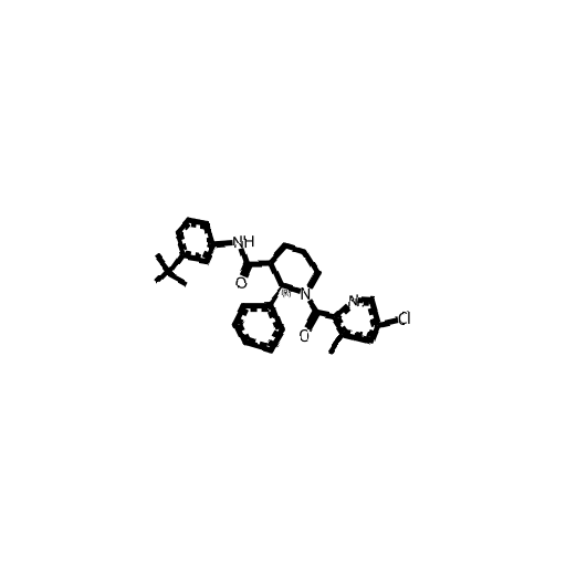 Cc1cc(Cl)cnc1C(=O)N1CCCC(C(=O)Nc2cccc(C(C)(C)C)c2)[C@@H]1c1ccccc1